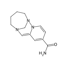 NC(=O)C1=CC2=CN3CCCCN(C3)N2C=C1